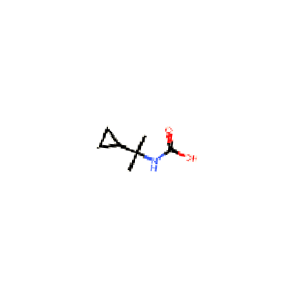 CC(C)(NC(=O)O)C1CC1